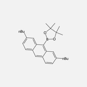 CCCCc1ccc2cc3ccc(CCCC)cc3c(B3OC(C)(C)C(C)(C)O3)c2c1